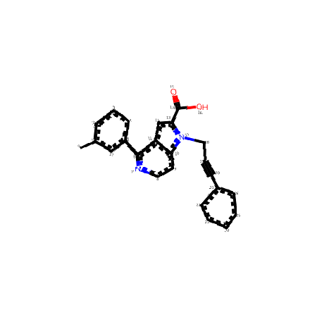 Cc1cccc(-c2nccc3c2cc(C(=O)O)n3CC#Cc2ccccc2)c1